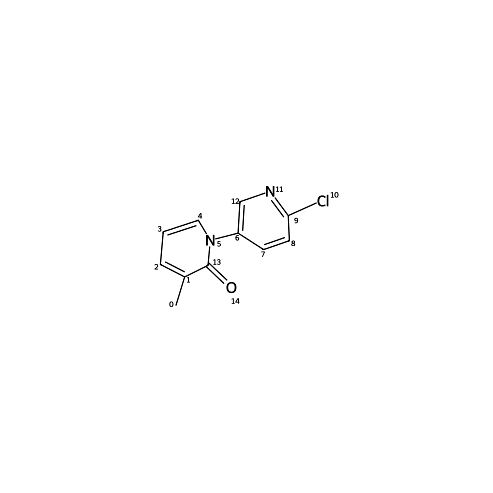 Cc1cccn(-c2ccc(Cl)nc2)c1=O